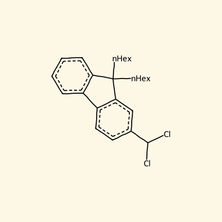 CCCCCCC1(CCCCCC)c2ccccc2-c2ccc(C(Cl)Cl)cc21